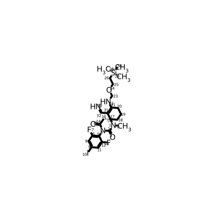 CN1C(=O)N(c2c(F)cc(I)cc2F)C(=O)C[C@]12CCCC(NCOCC[Si](C)(C)C)=C2C=N